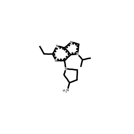 CCc1nc(N2CCC(N)C2)c2c(ncn2C(C)C)n1